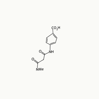 CNC(=O)CC(=O)Nc1ccc(C(=O)O)cc1